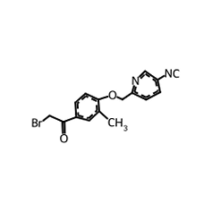 [C-]#[N+]c1ccc(COc2ccc(C(=O)CBr)cc2C)nc1